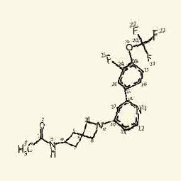 CC(=O)NC1CC2(C1)CN(c1ccnc(-c3ccc(OC(F)(F)F)c(F)c3)c1)C2